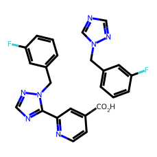 Fc1cccc(Cn2cncn2)c1.O=C(O)c1ccnc(-c2ncnn2Cc2cccc(F)c2)c1